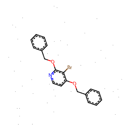 Brc1c(OCc2ccccc2)ccnc1OCc1ccccc1